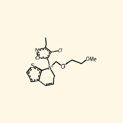 COCCOC[N+]1(c2onc(C)c2Cl)CC=Cc2ccsc21